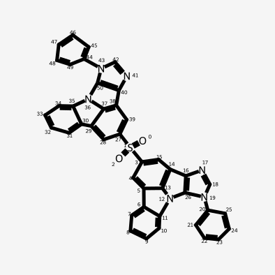 O=S(=O)(c1cc2c3ccccc3n3c2c(c1)c1ncn(-c2ccccc2)c13)c1cc2c3ccccc3n3c2c(c1)c1ncn(-c2ccccc2)c13